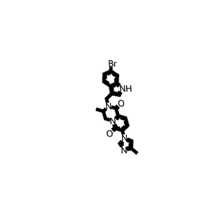 Cc1cn(-c2ccc3n(c2=O)CC(C)N(Cc2c[nH]c4cc(Br)ccc24)C3=O)cn1